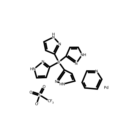 O=S(=O)([O-])C(F)(F)F.[Pd].c1cc([B-](c2cc[nH]n2)(c2cc[nH]n2)c2cc[nH]n2)n[nH]1.c1ccncc1